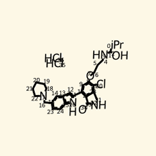 CC(C)C(O)NCCCOc1cc(-c2cc3cc(CN4CCCCC4)ccc3[nH]2)c2c(c1Cl)CNC2=O.Cl.Cl